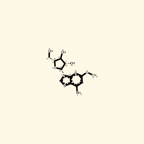 COc1cc(N)c2ncn([C@@H]3O[C@H](CO)C(O)[C@@H]3O)c2n1